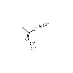 CC(=O)Cl.[Al+3].[Cl-].[Cl-].[Cl-]